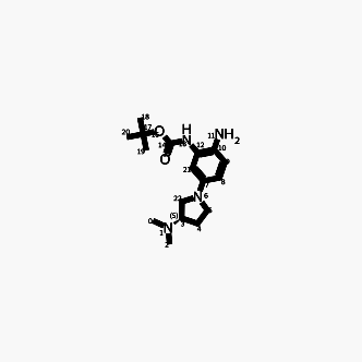 CN(C)[C@H]1CCN(c2ccc(N)c(NC(=O)OC(C)(C)C)c2)C1